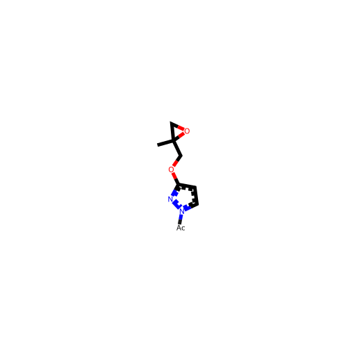 CC(=O)n1ccc(OCC2(C)CO2)n1